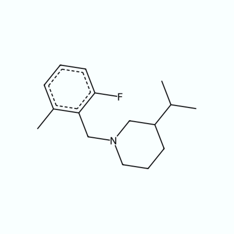 Cc1cccc(F)c1CN1CCCC(C(C)C)C1